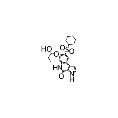 CCC(=O)O.O=c1[nH]c2ccc(S(=O)(=O)C3CCCCC3)cc2c2cc[nH]c12